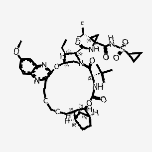 CC[C@@H]1[C@@H]2CN(C(=O)[C@H](C(C)(C)C)NC(=O)O[C@@H]3[C@H]4CC[C@H](C4)[C@H]3CCCCCc3nc4ccc(OC)cc4nc3O2)[C@@H]1C(=O)N[C@]1(C(=O)NS(=O)(=O)C2CC2)C[C@H]1C(F)F